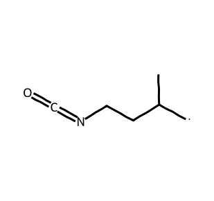 [CH2]C(C)CCN=C=O